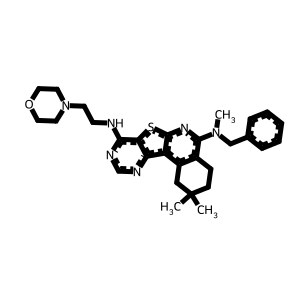 CN(Cc1ccccc1)c1nc2sc3c(NCCN4CCOCC4)ncnc3c2c2c1CCC(C)(C)C2